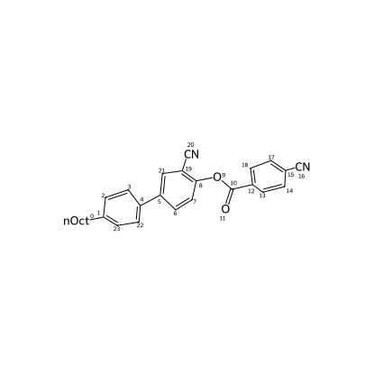 CCCCCCCCc1ccc(-c2ccc(OC(=O)c3ccc(C#N)cc3)c(C#N)c2)cc1